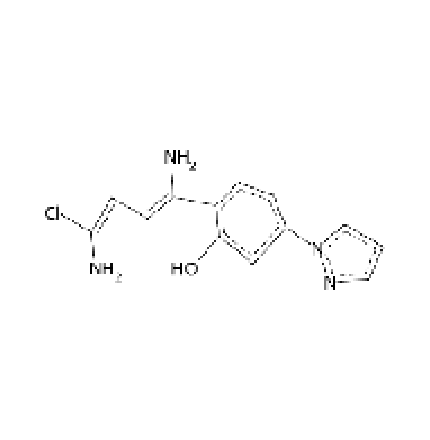 N/C(=C\C=C(/N)Cl)c1ccc(-n2cccn2)cc1O